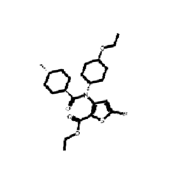 CCOC(=O)c1sc(Br)cc1N(C(=O)[C@H]1CC[C@H](C)CC1)[C@H]1CC[C@H](OCC)CC1